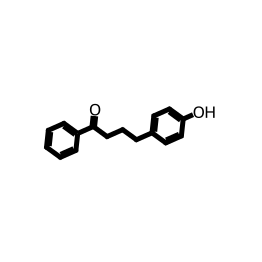 O=C(CCCc1ccc(O)cc1)c1ccccc1